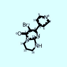 O=c1c(Br)c(-c2ccncc2)nc2n1CCCN2